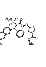 CC(C)(C)OC(=O)N1CCC(OOC(=O)N(C(c2ccccc2)c2ccc3ccc(C#N)cc3c2)S(N)(=O)=O)C1